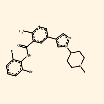 CN1CCC(n2cc(-c3cnc(N)c(C(=O)Nc4c(F)cccc4Br)c3)cn2)CC1